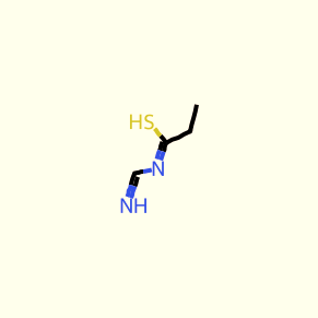 CC/C(S)=N/C=N